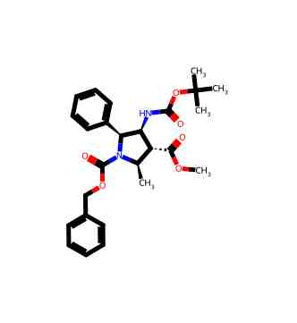 COC(=O)[C@H]1[C@H](NC(=O)OC(C)(C)C)[C@H](c2ccccc2)N(C(=O)OCc2ccccc2)[C@@H]1C